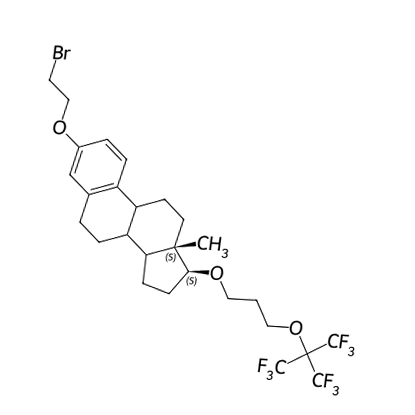 C[C@]12CCC3c4ccc(OCCBr)cc4CCC3C1CC[C@@H]2OCCCOC(C(F)(F)F)(C(F)(F)F)C(F)(F)F